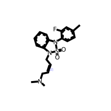 Cc1ccc(N2c3ccccc3N(C/C=C\CN(C)C)S2(=O)=O)c(F)c1